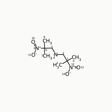 CC(C)(C[N]CC(C)(C)[N+](=O)[O-])[N+](=O)[O-]